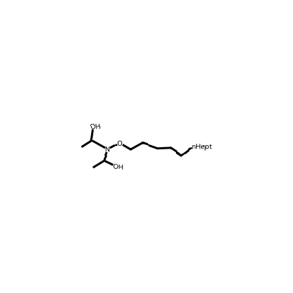 CCCCCCCCCCCCON(C(C)O)C(C)O